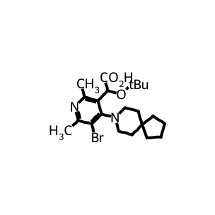 Cc1nc(C)c(C(OC(C)(C)C)C(=O)O)c(N2CCC3(CCCC3)CC2)c1Br